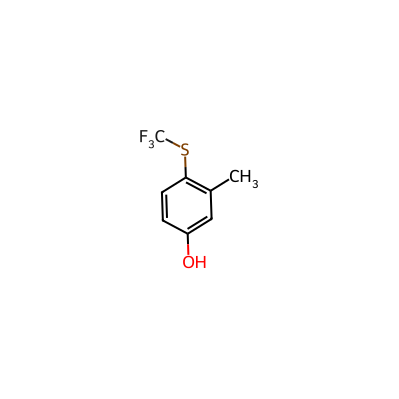 Cc1cc(O)ccc1SC(F)(F)F